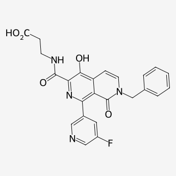 O=C(O)CCNC(=O)c1nc(-c2cncc(F)c2)c2c(=O)n(Cc3ccccc3)ccc2c1O